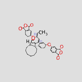 C=C(/C=C\C(=C/C)OC1=CC2=C(CC1)C(=O)OC2=O)C1(C2=CCC(Oc3ccc4c(c3)C(=O)OC4=O)C=C2)CCCCCCCCC1